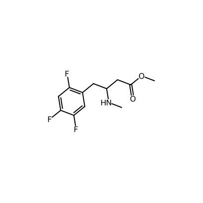 CNC(CC(=O)OC)Cc1cc(F)c(F)cc1F